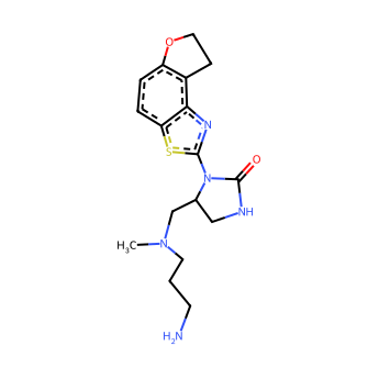 CN(CCCN)CC1CNC(=O)N1c1nc2c3c(ccc2s1)OCC3